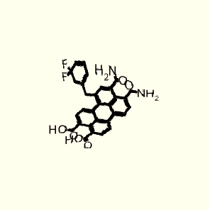 NC(=O)c1ccc2c3ccc(C(=O)O)c4c(C(=O)O)ccc(c5c(CC6=CC=CC(F)(F)C6)cc(C(N)=O)c1c25)c43